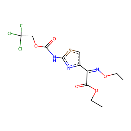 CCON=C(C(=O)OCC)c1csc(NC(=O)OCC(Cl)(Cl)Cl)n1